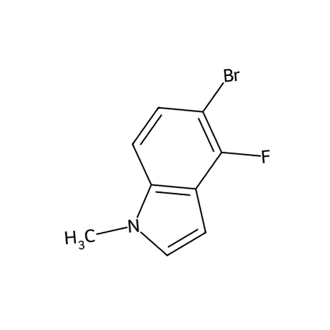 Cn1ccc2c(F)c(Br)ccc21